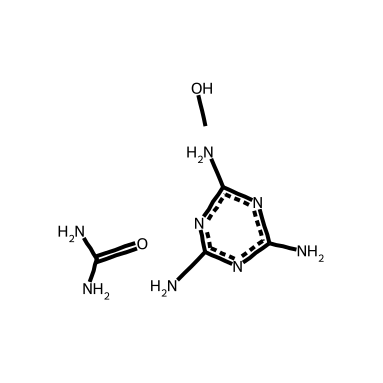 CO.NC(N)=O.Nc1nc(N)nc(N)n1